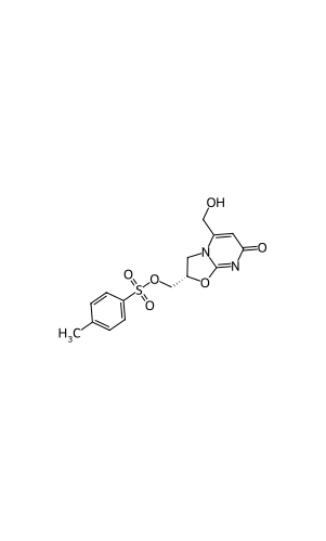 Cc1ccc(S(=O)(=O)OC[C@@H]2Cn3c(CO)cc(=O)nc3O2)cc1